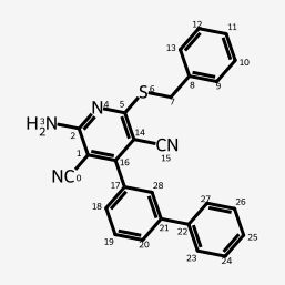 N#Cc1c(N)nc(SCc2ccccc2)c(C#N)c1-c1cccc(-c2ccccc2)c1